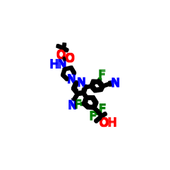 CC(C)(C)OC(=O)NC1CCN(c2cc(C#N)c(-c3ccc(C(F)(F)C(C)(C)O)cc3F)c(-c3ccc(C#N)c(F)c3)n2)CC1